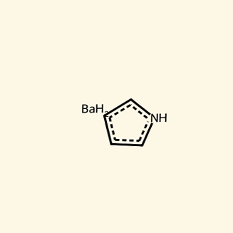 [BaH2].c1cc[nH]c1